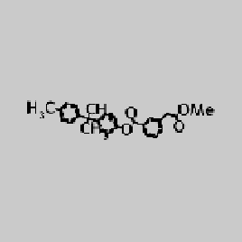 COC(=O)Cc1cccc(C(=O)Oc2ccc(C(C)(C)c3ccc(C)cc3)cc2)c1